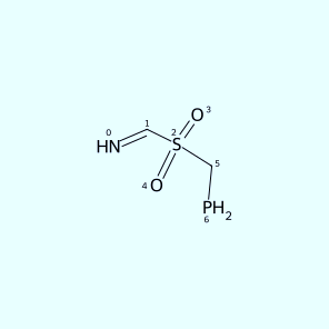 N=CS(=O)(=O)CP